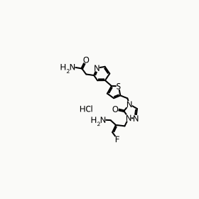 Cl.NC/C(=C/F)Cn1ncn(Cc2ccc(-c3ccnc(CC(N)=O)c3)s2)c1=O